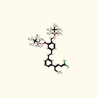 CCC(=CC=C(Br)Br)c1cccc(CCc2ccc(CO[Si](C)(C)C(C)(C)C)c(CO[Si](C)(C)C(C)(C)C)c2)c1